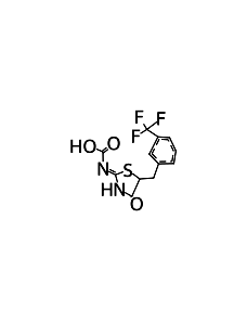 O=C(O)N=C1NC(=O)C(Cc2cccc(C(F)(F)F)c2)S1